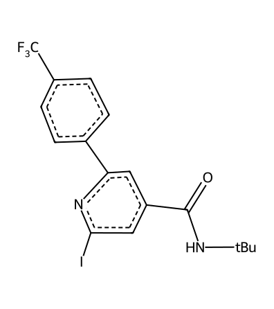 CC(C)(C)NC(=O)c1cc(I)nc(-c2ccc(C(F)(F)F)cc2)c1